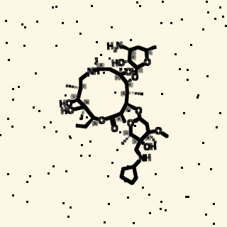 CC[C@@H]1OC(=O)[C@H](C)[C@H](OC2C[C@@](C)(OC)[C@](O)(CNC3CCCC3)[C@H](C)O2)[C@@H](C)[C@@H](O[C@@H]2O[C@H](C)C[C@H](N)[C@H]2O)[C@](C)(O)C[C@@H](C)NC[C@@H](C)[C@H](O)[C@]1(C)O